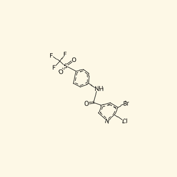 O=C(Nc1ccc(S(=O)(=O)C(F)(F)F)cc1)c1cnc(Cl)c(Br)c1